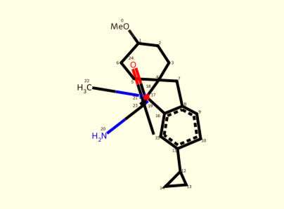 COC1CCC2(CC1)Cc1ccc(C3CC3)cc1C21N=C(N)N(C)C1=O